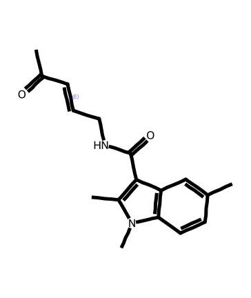 CC(=O)/C=C/CNC(=O)c1c(C)n(C)c2ccc(C)cc12